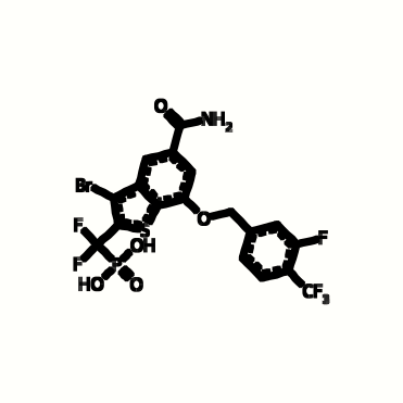 NC(=O)c1cc(OCc2ccc(C(F)(F)F)c(F)c2)c2sc(C(F)(F)P(=O)(O)O)c(Br)c2c1